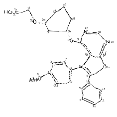 COc1ccc(-c2c(-c3ccccc3)oc3ncnc(O[C@H]4CCC[C@@H](OCC(=O)O)C4)c23)cc1